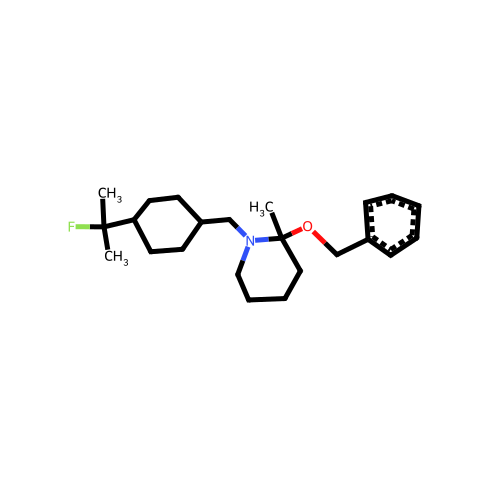 CC(C)(F)C1CCC(CN2CCCCC2(C)OCc2ccccc2)CC1